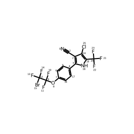 N#Cc1c(-c2ccc(OC(F)(F)C(F)(F)Br)cc2)[nH]c(C(F)(F)F)c1Cl